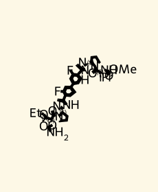 CCO[C@H](C)[C@H](OC(N)=O)C(=O)N1CCC[C@H]1c1ncc(-c2ccc(-c3ccc(-c4cnc([C@@H]5CCCN5C(=O)[C@@H](NC(=O)OC)C(C)C)[nH]4)c(F)c3)cc2F)[nH]1